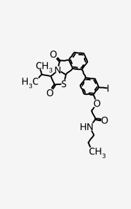 CCCNC(=O)COc1ccc(-c2cccc3c2C2SC(=O)C(C(C)C)N2C3=O)cc1I